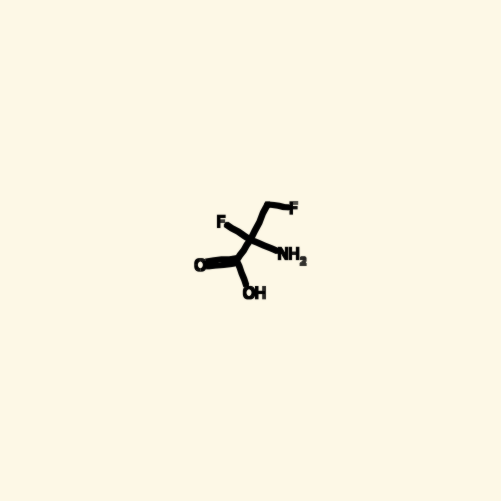 NC(F)(CF)C(=O)O